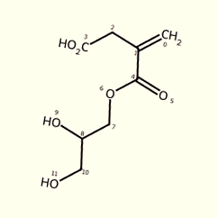 C=C(CC(=O)O)C(=O)OCC(O)CO